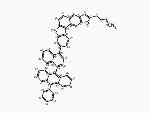 C=CCCc1cc2cc3ccc4sc5cc(-c6ccc(-c7c8ccccc8c(-c8ccccc8)c8ccccc78)c7ccccc67)ccc5c4c3cc2o1